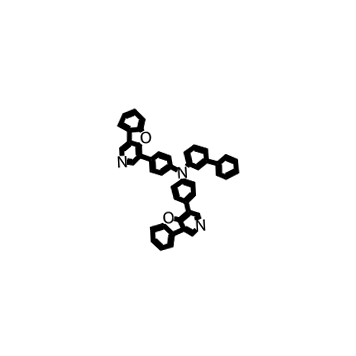 c1ccc(-c2cccc(N(c3ccc(-c4cncc5c4oc4ccccc45)cc3)c3ccc(-c4cncc5c4oc4ccccc45)cc3)c2)cc1